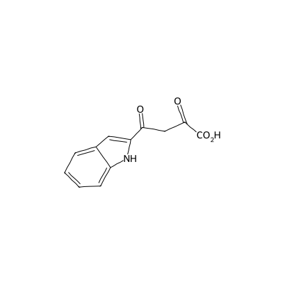 O=C(O)C(=O)CC(=O)c1cc2ccccc2[nH]1